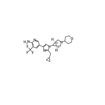 Nc1ncc(-c2cn(C3[C@H]4CN(C5CCOCC5)C[C@@H]34)c(CC3CC3)n2)cc1C(F)(F)F